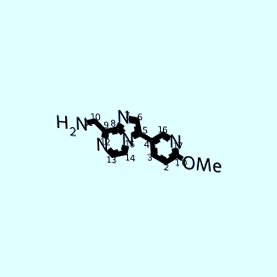 COc1ccc(-c2cnc3c(CN)nccn23)cn1